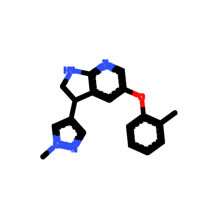 Cc1ccccc1Oc1cnc2c(c1)C(c1cnn(C)c1)CN2